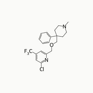 CN1CCC(COCc2cc(C(F)(F)F)cc(Cl)n2)(c2ccccc2)CC1